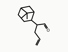 C=CCC(C=O)C1CCC2CC1C2(C)C